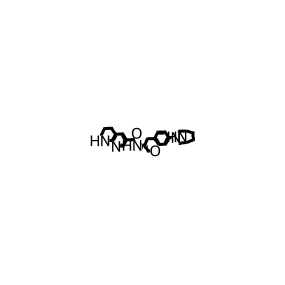 O=C(N[C@H]1COc2cc(N3CC4CCC(C3)N4)ccc2C1)c1cnc2c(c1)CCCN2